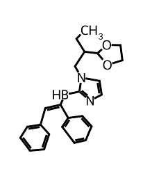 CCC(Cn1ccnc1BC(=Cc1ccccc1)c1ccccc1)C1OCCO1